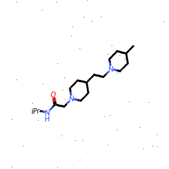 CC1CCN(CCC2CCN(CC(=O)NC(C)C)CC2)CC1